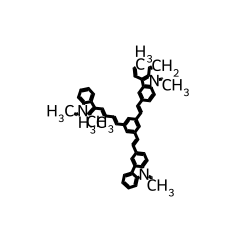 C=Cc1c(/C=C\C)c2cc(/C=C/c3cc(/C=C/C(C)=C/c4c(C)n(CC)c5ccccc45)cc(/C=C/c4ccc5c(c4)c4ccccc4n5CC)c3)ccc2n1CC